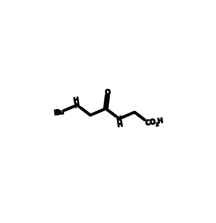 CCC(C)NCC(=O)NCC(=O)O